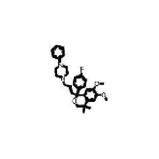 COc1cc2c(cc1OC)C(CCCN1CCN(c3ccccc3)CC1)(c1ccc(F)cc1)OCC2(C)C